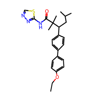 CCOc1ccc(-c2ccc(C(CC(C)C)C(C)(C)C(=O)Nc3nncs3)cc2)cc1